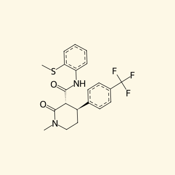 CSc1ccccc1NC(=O)[C@H]1C(=O)N(C)CC[C@@H]1c1ccc(C(F)(F)F)cc1